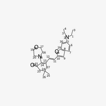 CCN(CC)c1ccc2cc(C=CC3=C(N4CCOCC4)C(=O)CC(C)(C)C3)oc2c1